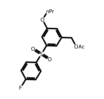 CCCOc1cc(COC(C)=O)cc(S(=O)(=O)c2ccc(F)cc2)c1